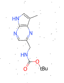 Cc1c[nH]c2ncc(CNC(=O)OC(C)(C)C)nc12